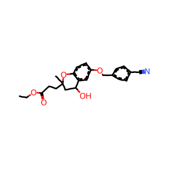 CCOC(=O)CCC1(C)CC(O)c2cc(OCc3ccc(C#N)cc3)ccc2O1